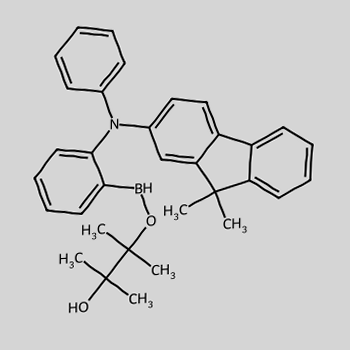 CC1(C)c2ccccc2-c2ccc(N(c3ccccc3)c3ccccc3BOC(C)(C)C(C)(C)O)cc21